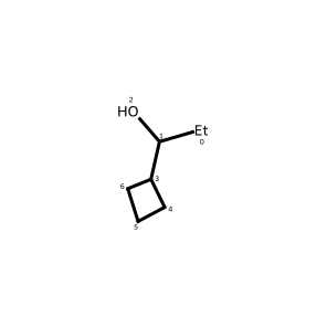 [CH2]CC(O)C1CCC1